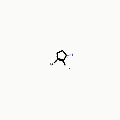 CC1=C(C)[C@@H](I)CC1